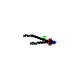 CCCCCC=CCC=CCCCCCCCCC1(CCCCCCCCCCCCCCCCCC)O[C@H]2CC([N+](C)(C)C)C[C@H]2O1.[Cl-]